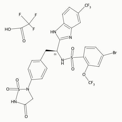 O=C(O)C(F)(F)F.O=C1CN(c2ccc(C[C@H](NS(=O)(=O)c3ccc(Br)cc3OC(F)(F)F)c3nc4cc(C(F)(F)F)ccc4[nH]3)cc2)S(=O)(=O)N1